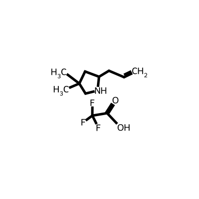 C=CCC1CC(C)(C)CN1.O=C(O)C(F)(F)F